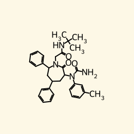 Cc1cccc(N(C(N)=O)C2CC(c3ccccc3)CC(c3ccccc3)N(CC(=O)NC(C)(C)C)C2=O)c1